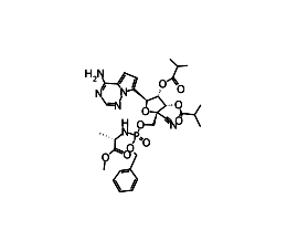 COC(=O)[C@H](C)NP(=O)(OCc1ccccc1)OC[C@@]1(C#N)O[C@@H](c2ccc3c(N)ncnn23)[C@H](OC(=O)C(C)C)[C@@H]1OC(=O)C(C)C